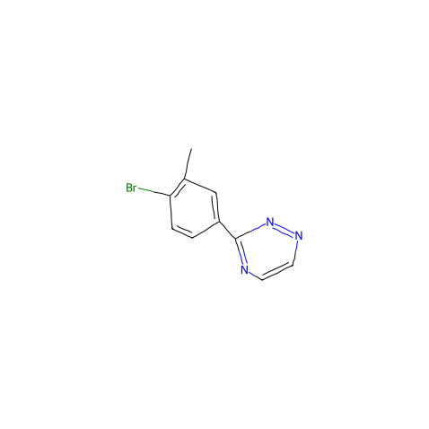 Cc1cc(-c2nccnn2)ccc1Br